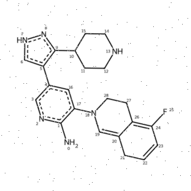 Nc1ncc(-c2c[nH]nc2C2CCNCC2)cc1N1C=C2CC=CC(F)=C2CC1